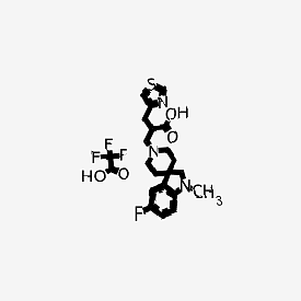 CN1CC2(CCN(CC(Cc3cscn3)C(=O)O)CC2)c2cc(F)ccc21.O=C(O)C(F)(F)F